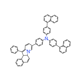 C1=CC2=C(c3ccccc3)C3c4ccccc4C=CC3N2C=C1c1ccc(N(c2ccc(-c3cccc4ccccc34)cc2)c2ccc(-c3cccc4ccccc34)cc2)cc1